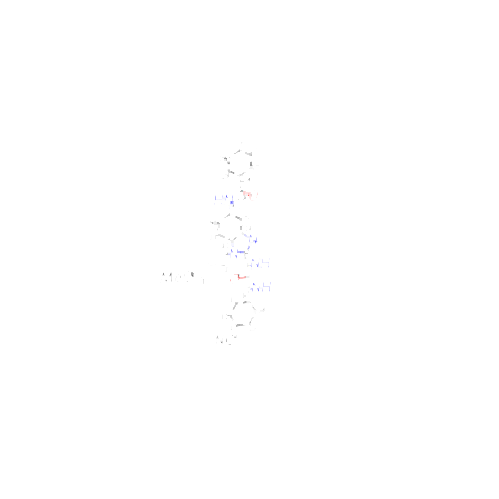 COCCCn1c(NC(=O)Nc2ccc(C#N)cc2)nc2cc(NC(=O)c3ccccc3)ccc21